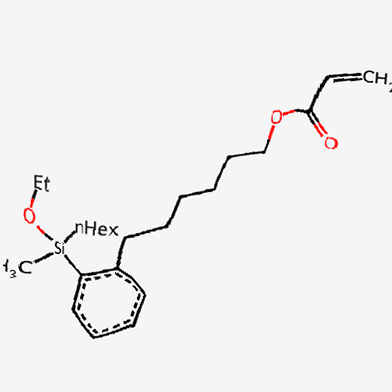 C=CC(=O)OCCCCCCc1ccccc1[Si](C)(CCCCCC)OCC